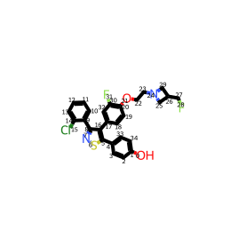 Oc1ccc(-c2snc(-c3ccccc3Cl)c2-c2ccc(OCCN3CC(CF)C3)c(F)c2)cc1